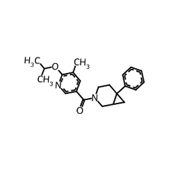 Cc1cc(C(=O)N2CCC3(c4ccccc4)CC3C2)cnc1OC(C)C